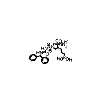 N[C@@]1(C(=O)O)CN(S(=O)(=O)NC(=O)NC(c2ccccc2)c2ccccc2)C[C@@H]1CCCB(O)O